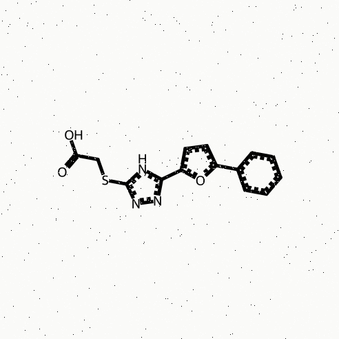 O=C(O)CSc1nnc(-c2ccc(-c3ccccc3)o2)[nH]1